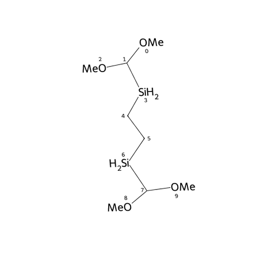 COC(OC)[SiH2]CC[SiH2]C(OC)OC